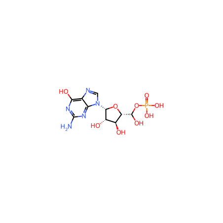 Nc1nc(O)c2ncn([C@@H]3O[C@H](C(O)OP(=O)(O)O)[C@@H](O)[C@@H]3O)c2n1